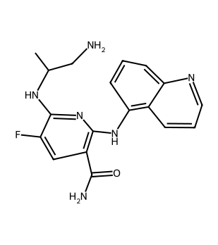 CC(CN)Nc1nc(Nc2cccc3ncccc23)c(C(N)=O)cc1F